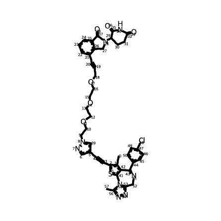 Cc1c(C#Cc2cnn(CCOCCOCCOCC#Cc3cccc4c3CN(C3CCC(=O)NC3=O)C4=O)c2)sc2c1C(c1ccc(Cl)cc1)=NCc1nnc(C)n1-2